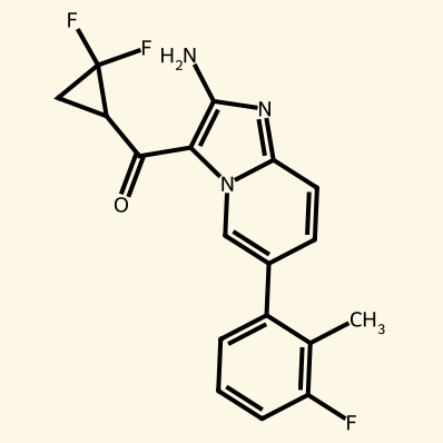 Cc1c(F)cccc1-c1ccc2nc(N)c(C(=O)C3CC3(F)F)n2c1